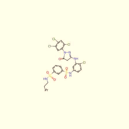 CC(C)CCNS(=O)(=O)c1cccc(S(=O)(=O)Nc2ccc(Cl)c(NC3=NN(c4cc(Cl)c(Cl)cc4Cl)C(=O)C3)c2)c1